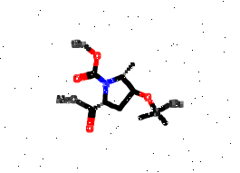 COC(=O)[C@H]1CC(O[Si](C)(C)C(C)(C)C)[C@@H](C)N1C(=O)OC(C)(C)C